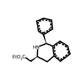 CCOC(=O)C[C@@H]1Cc2ccccc2[C@H](c2ccccc2)N1